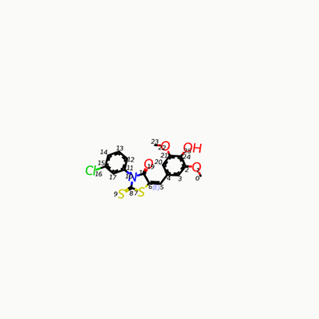 COc1cc(/C=C2/SC(=S)N(c3cccc(Cl)c3)C2=O)cc(OC)c1O